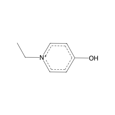 CC[n+]1ccc(O)cc1